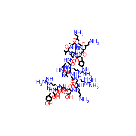 CC(C)[C@H](N)C(=O)N[C@@H](C)C(=O)N[C@@H](CCCCN)C(=O)N[C@@H](CCCCN)C(=O)N[C@@H](Cc1ccccc1)C(=O)N1CCC[C@H]1C(=O)N[C@@H](Cc1c[nH]cn1)C(=O)N[C@@H](CCCNC(=N)N)C(=O)N[C@@H](Cc1c[nH]cn1)C(=O)N[C@@H](CCCNC(=N)N)C(=O)N[C@@H](CCCCN)C(=O)N[C@@H](CC(=O)O)C(=O)NCC(=O)N[C@@H](CCCNC(=N)N)C(=O)N[C@@H](Cc1ccc(O)cc1)C(=O)O